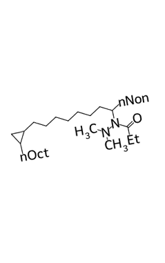 CCCCCCCCCC(CCCCCCCC1CC1CCCCCCCC)N(C(=O)CC)N(C)C